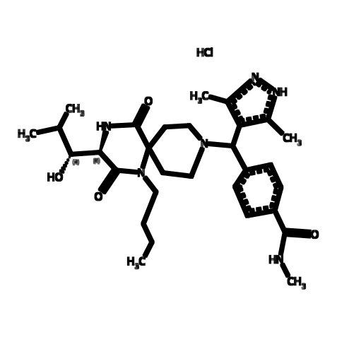 CCCCN1C(=O)[C@@H]([C@H](O)C(C)C)NC(=O)C12CCN(C(c1ccc(C(=O)NC)cc1)c1c(C)n[nH]c1C)CC2.Cl